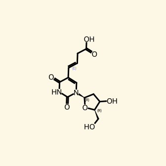 O=C(O)C/C=C/c1cn([C@H]2CC(O)[C@@H](CO)O2)c(=O)[nH]c1=O